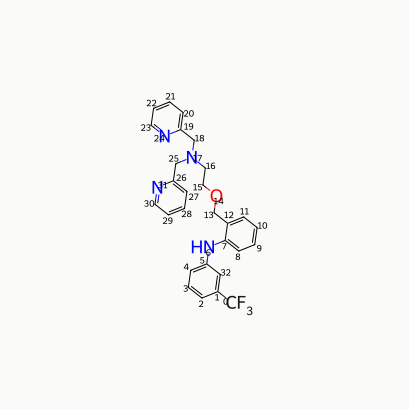 FC(F)(F)c1cccc(Nc2ccccc2COCCN(Cc2ccccn2)Cc2ccccn2)c1